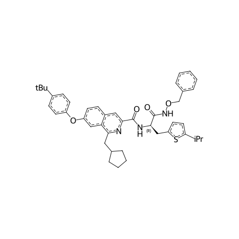 CC(C)c1ccc(C[C@@H](NC(=O)c2cc3ccc(Oc4ccc(C(C)(C)C)cc4)cc3c(CC3CCCC3)n2)C(=O)NOCc2ccccc2)s1